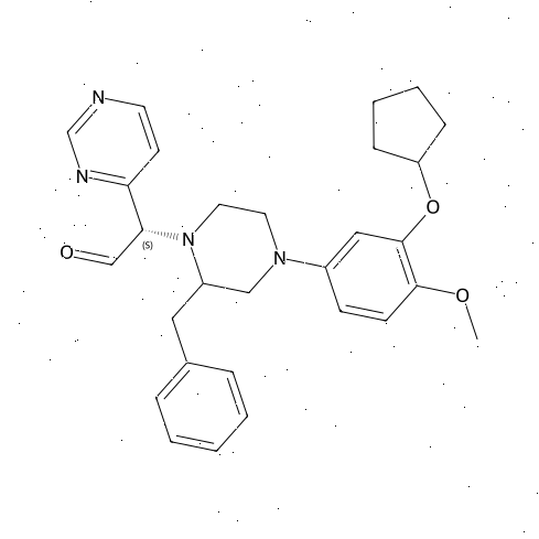 COc1ccc(N2CCN([C@H](C=O)c3ccncn3)C(Cc3ccccc3)C2)cc1OC1CCCC1